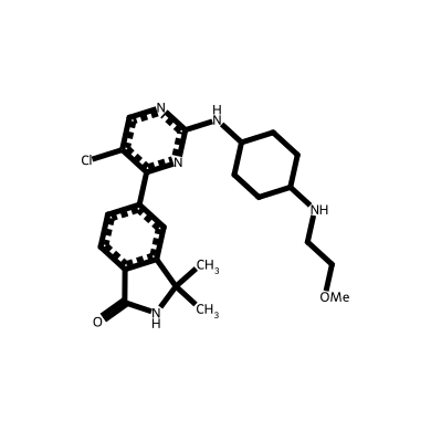 COCCNC1CCC(Nc2ncc(Cl)c(-c3ccc4c(c3)C(C)(C)NC4=O)n2)CC1